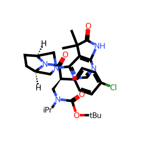 CC(C)N(C[C@@H](C(=O)N1[C@@H]2CC[C@H]1CN(c1ncnc3c1C(C)(C)C(=O)N3)C2)c1ccc(Cl)cc1)C(=O)OC(C)(C)C